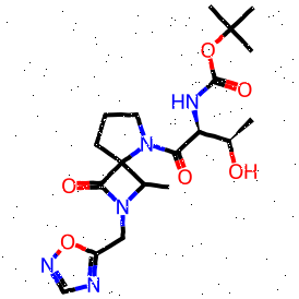 CC1N(Cc2ncno2)C(=O)C12CCCN2C(=O)[C@@H](NC(=O)OC(C)(C)C)[C@@H](C)O